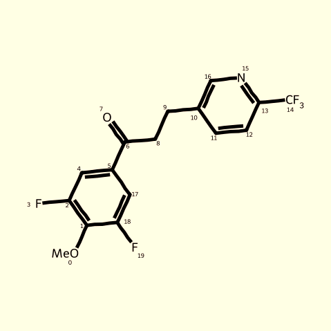 COc1c(F)cc(C(=O)CCc2ccc(C(F)(F)F)nc2)cc1F